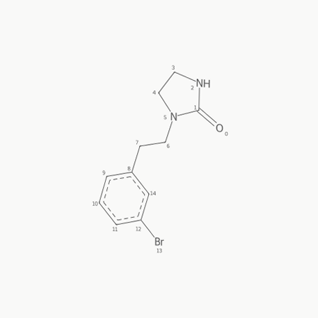 O=C1NCCN1CCc1cccc(Br)c1